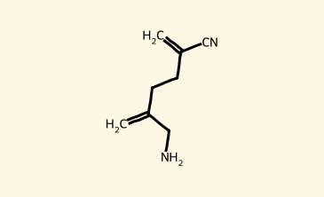 C=C(C#N)CCC(=C)CN